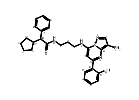 Bc1cnn2c(NCCCNC(=O)C(c3ccccc3)C3CCCC3)cc(-c3ccccc3O)nc12